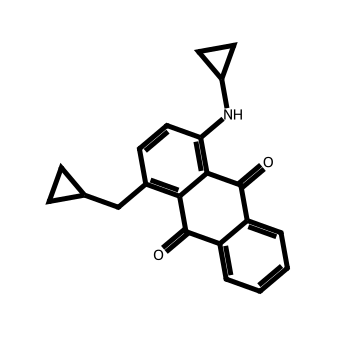 O=C1c2ccccc2C(=O)c2c(NC3CC3)ccc(CC3CC3)c21